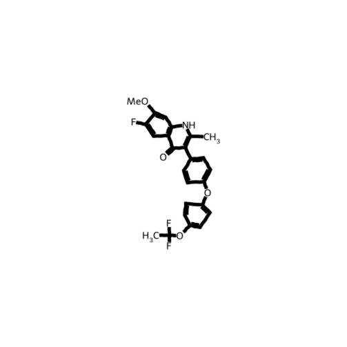 COc1cc2[nH]c(C)c(-c3ccc(Oc4ccc(OC(C)(F)F)cc4)cc3)c(=O)c2cc1F